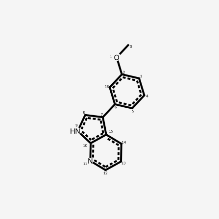 COc1cccc(-c2c[nH]c3ncccc23)c1